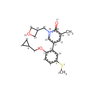 CSc1ccc(OCC2CC2)c(-c2cc(C)c(=O)n(CC3COC3)c2)c1